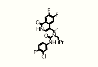 CC(C)CN(C(=O)Nc1ccc(F)c(Cl)c1)[C@@H](C)c1c[nH]c(=O)c2cc(F)c(F)cc12